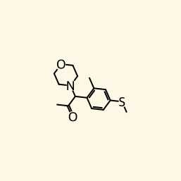 CSc1ccc(C(C(C)=O)N2CCOCC2)c(C)c1